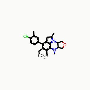 Cc1cc(-c2c(CC(=O)O)c(C)c3c4c2cc(C)n4C2COCC2N3C)ccc1Cl